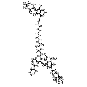 CC(C)(C)C(NC(=O)c1cc2cc(C(F)(F)P(=O)(O)O)ccc2s1)C(=O)N1CCN(C(=O)CC(=O)NCCCCCCCCCC#Cc2cccc3c2C(=O)N(C2CCC(=O)NC2=O)C3=O)C[C@H]1C(=O)N1CCO[C@H](c2ccccc2)C1